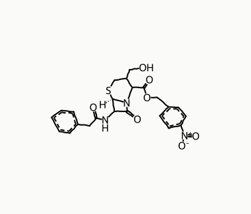 O=C(Cc1ccccc1)NC1C(=O)N2C(C(=O)OCc3ccc([N+](=O)[O-])cc3)C(CO)CS[C@H]12